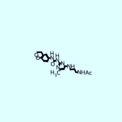 CC(=O)NCCCNc1cc(C)nc(NC(=O)Nc2ccc3c(c2)CCOO3)n1